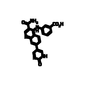 NC(=O)c1cnc2cc(-c3cnc(=O)[nH]c3)ccc2c1Nc1cccc(C(=O)O)c1